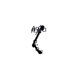 CC(=O)Oc1c(/C(N)=C/N(N)CCCCCCCCCCCCOCCCc2ccc[n+](CCCCOCCCc3cccnc3)c2)cc(Cl)c2cccnc12